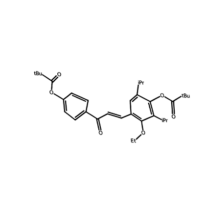 CCOc1c(C=CC(=O)c2ccc(OC(=O)C(C)(C)C)cc2)cc(C(C)C)c(OC(=O)C(C)(C)C)c1C(C)C